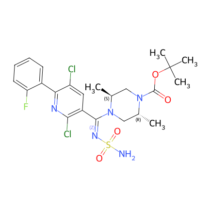 C[C@@H]1CN(/C(=N\S(N)(=O)=O)c2cc(Cl)c(-c3ccccc3F)nc2Cl)[C@@H](C)CN1C(=O)OC(C)(C)C